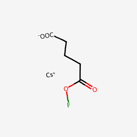 O=C([O-])CCCC(=O)OF.[Cs+]